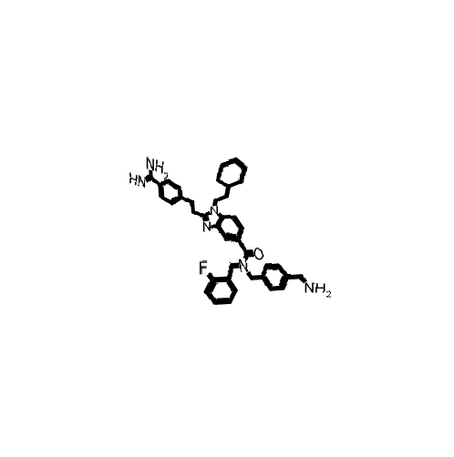 N=C(N)c1ccc(CCc2nc3cc(C(=O)N(Cc4ccc(CN)cc4)Cc4ccccc4F)ccc3n2CCC2CCCCC2)cc1